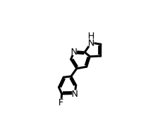 Fc1ccc(-c2cnc3[nH]ccc3c2)cn1